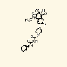 CC1Sc2c(C(=O)O)c(=O)c3cc(F)c(N4CCN(CC(=O)NC(=O)Nc5ccccc5)CC4)cc3n21